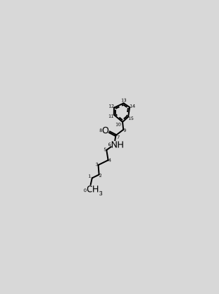 CCCCCCNC(=O)Cc1ccccc1